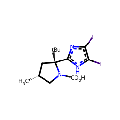 C[C@H]1CN(C(=O)O)[C@](c2nc(I)c(I)[nH]2)(C(C)(C)C)C1